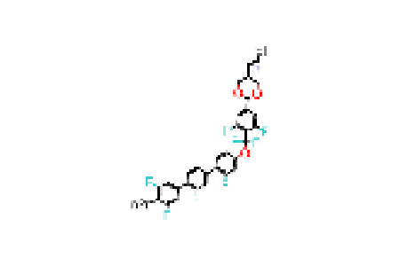 CC/C=C/C1COC(c2cc(F)c(C(F)(F)Oc3ccc(-c4ccc(-c5cc(F)c(CCC)c(F)c5)c(F)c4)c(F)c3)c(F)c2)OC1